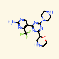 Nc1ncc(-c2nc(C3CNCCO3)nc(N3CCNCC3)n2)c(C(F)(F)F)n1